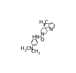 Cc1cccnc1C1(F)CCN(C(=O)Nc2ccc(N(C)C)cc2)CC1